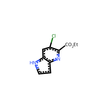 CCOC(=O)c1nc2cc[nH]c2cc1Cl